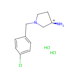 Cl.Cl.N[C@@H]1CCN(Cc2ccc(Cl)cc2)C1